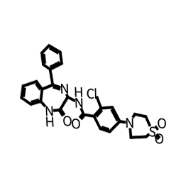 O=C(NC1N=C(c2ccccc2)c2ccccc2NC1=O)c1ccc(N2CCS(=O)(=O)CC2)cc1Cl